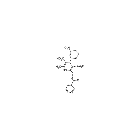 CC1=C(C(=O)O)C(c2cccc([N+](=O)[O-])c2)C(C(=O)O)=C(COC(=O)c2cccnc2)N1